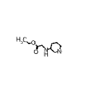 CCOC(=O)CNC1CCC[N]C1